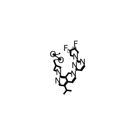 CC(C)c1cnc(N2CC(CS(C)(=O)=O)C2)c2c1C=CN(c1ccnc(N3C[C@H](F)[C@@H](F)C3)n1)C2